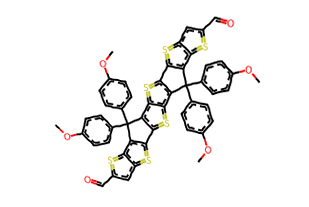 COc1ccc(C2(c3ccc(OC)cc3)c3c(sc4cc(C=O)sc34)-c3sc4c5c(sc4c32)-c2sc3cc(C=O)sc3c2C5(c2ccc(OC)cc2)c2ccc(OC)cc2)cc1